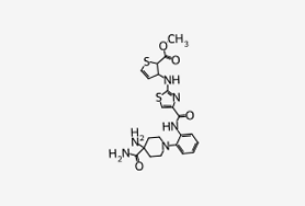 COC(=O)C1SC=CC1Nc1nc(C(=O)Nc2ccccc2N2CCC(N)(C(N)=O)CC2)cs1